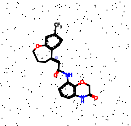 O=C(/C=C1\CCCOc2cc(C(F)(F)F)ccc21)Nc1cccc2c1OCC(=O)N2